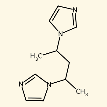 CC(CC(C)n1ccnc1)n1ccnc1